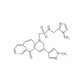 Cn1cc(C2=Cc3c(ccc4ccccc4c3=O)N(CS(=O)(=O)NCc3nccn3C)C2)cn1